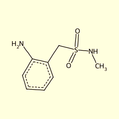 CNS(=O)(=O)Cc1ccccc1N